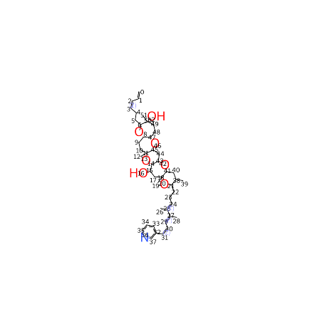 C=C/C=C\CCC1OC2CCC3(C)OC4C(O)CC5(C)OC(CC/C=C(C)/C(C)=C/C=C\c6cccnc6)C(C)CC5OC4CC3OC2CCC1(C)O